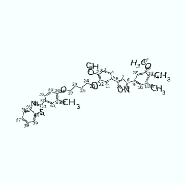 COc1ccc(-c2cc(-c3cc(C)c(C)c(OC)c3)no2)cc1OCCCCOc1ccc(-c2nc3ccccc3s2)cc1C